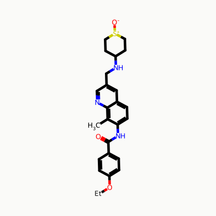 CCOc1ccc(C(=O)Nc2ccc3cc(CNC4CC[S+]([O-])CC4)cnc3c2C)cc1